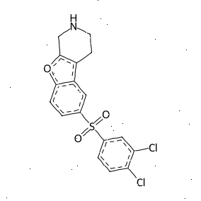 O=S(=O)(c1ccc(Cl)c(Cl)c1)c1ccc2oc3c(c2c1)CCNC3